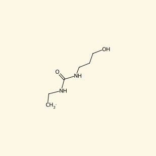 [CH2]CNC(=O)NCCCO